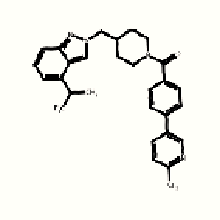 CC(c1cccc2nn(CC3CCN(C(=O)c4ccc(-c5ccc(C(F)(F)F)nc5)cc4)CC3)cc12)C(F)(F)F